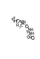 CN1C(c2ccc(NC(=S)NC(CO)c3ccccc3)cc2)N=CN1c1ccc(C(F)(F)F)cc1